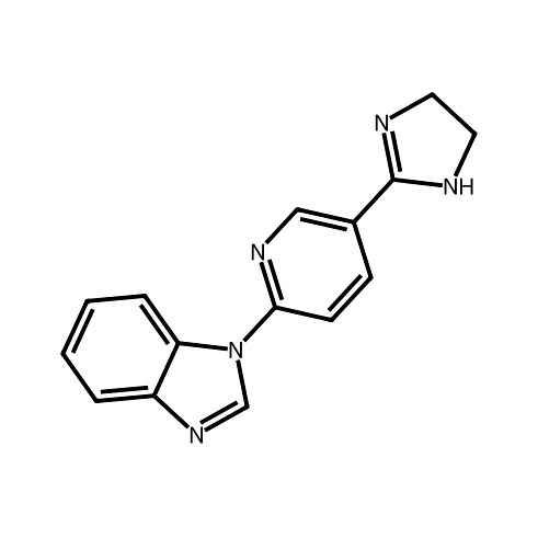 c1ccc2c(c1)ncn2-c1ccc(C2=NCCN2)cn1